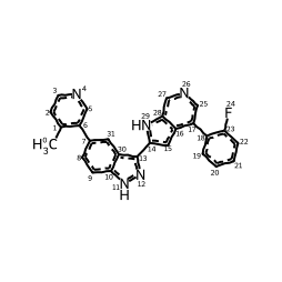 Cc1ccncc1-c1ccc2[nH]nc(-c3cc4c(-c5ccccc5F)cncc4[nH]3)c2c1